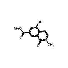 COC(=O)c1cc(O)c2ccn(C)c(=O)c2c1